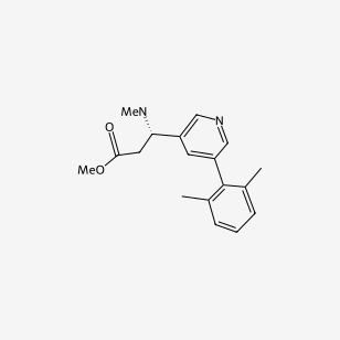 CN[C@@H](CC(=O)OC)c1cncc(-c2c(C)cccc2C)c1